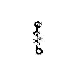 O=C(Nc1noc(C2CN3CCC2CC3)n1)OCC1CCCCC1